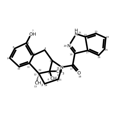 CC1(C)C2Cc3c(O)cccc3[C@]1(C)CCN2C(=O)c1n[nH]c2ccccc12